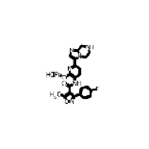 Cc1onc(-c2ccc(F)cc2)c1C(=O)Nc1ccc(-c2cnc3n2CCNC3)nc1OC(C)C.Cl